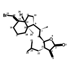 C=C1C(=O)O[C@H](C[C@@H](C)[C@H]2CC[C@H]3/C(=C/Br)CCC[C@]23C)[C@H]1CC(C)C